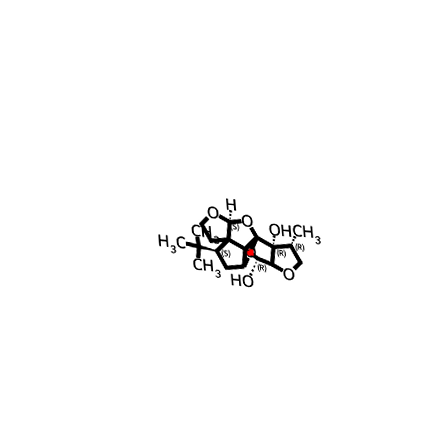 C[C@@H]1COC2[C@H](O)C34C5C[C@@H](C(C)(C)C)C36CCO[C@H]6OC4(CO5)[C@]21O